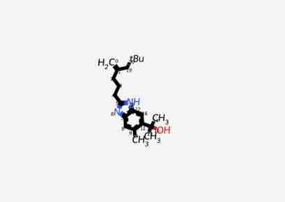 C=C(CCCc1nc2cc(C)c(C(C)(C)O)cc2[nH]1)CC(C)(C)C